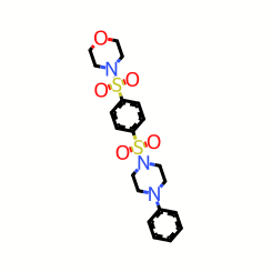 O=S(=O)(c1ccc(S(=O)(=O)N2CCN(c3ccccc3)CC2)cc1)N1CCOCC1